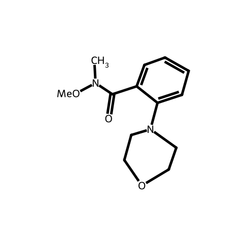 CON(C)C(=O)c1ccccc1N1CCOCC1